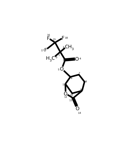 CC(C)(C(=O)OC1CCC2CC1OC2=O)C(F)(F)F